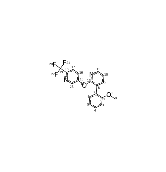 COc1ccccc1-c1cccnc1Oc1ccc(C(F)(F)F)nc1